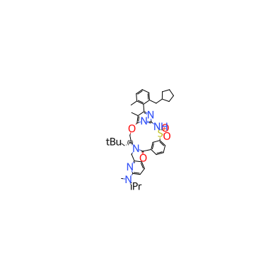 Cc1cccc(CC2CCCC2)c1-c1nc2nc(c1C)OC[C@@H](CC(C)(C)C)N(Cc1cccc(N(C)C(C)C)n1)C(=O)c1cccc(c1)S(=O)(=O)N2